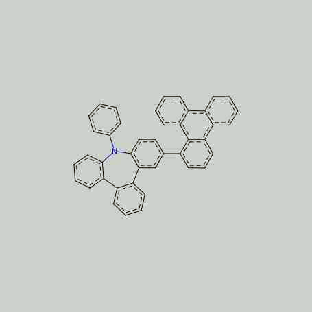 c1ccc(N2c3ccccc3-c3ccccc3-c3cc(-c4cccc5c6ccccc6c6ccccc6c45)ccc32)cc1